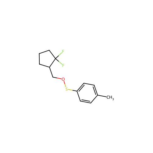 Cc1ccc(SOCC2CCCC2(F)F)cc1